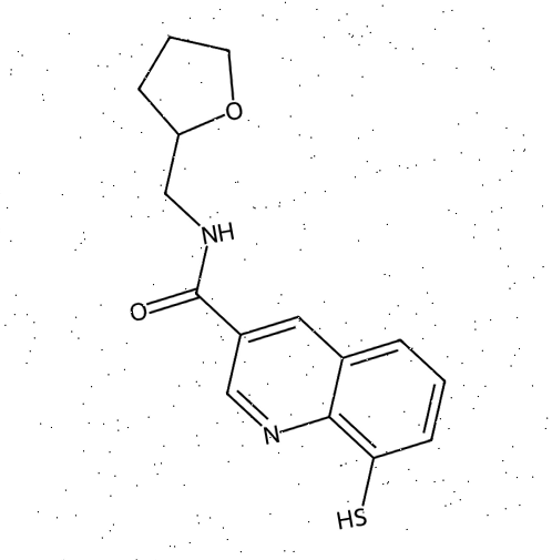 O=C(NCC1CCCO1)c1cnc2c(S)cccc2c1